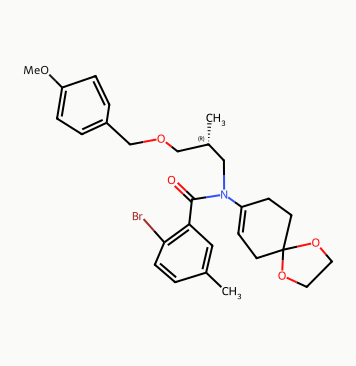 COc1ccc(COC[C@H](C)CN(C(=O)c2cc(C)ccc2Br)C2=CCC3(CC2)OCCO3)cc1